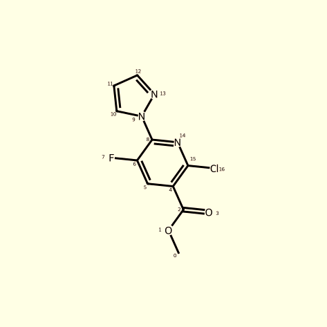 COC(=O)c1cc(F)c(-n2cccn2)nc1Cl